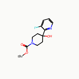 CC(C)(C)OC(=O)N1CCC(O)(c2ncccc2F)CC1